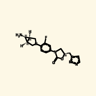 N[C@@H]1[C@H]2CN(c3ccc(N4C[C@H](Cn5ccnn5)OC4=O)cc3F)C[C@@H]12